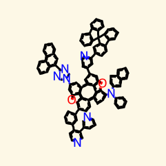 C1=NC(c2cc3ccccc3c3ccccc23)=NCN1c1cc2oc3c(-c4cccc(-c5ccncc5-c5cccnc5)c4)ccc4c5ccc(N(c6ccccc6)c6ccc7ccccc7c6)c6oc7cc(-c8ccnc(-c9ccc%10c(c9)C9(c%11ccccc%11-c%11ccccc%119)c9ccccc9-%10)c8)cc(c(c1)c2c34)c7c65